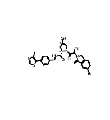 Cc1ncsc1-c1ccc(CNC(=O)[C@@H]2C[C@@H](O)CN2C(=O)C(C(C)C)N2Cc3ccc(Br)cc3C2=O)cc1